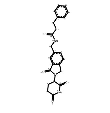 O=C1CCC(N2Cc3ccc(CNC(=O)OCc4ccccc4)cc3C2=O)C(=O)N1